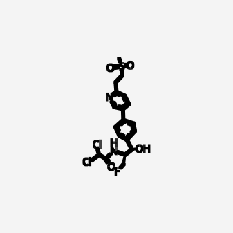 CS(=O)(=O)CCc1ccc(-c2ccc([C@H](O)[C@@H](CF)NC(=O)C(Cl)Cl)cc2)cn1